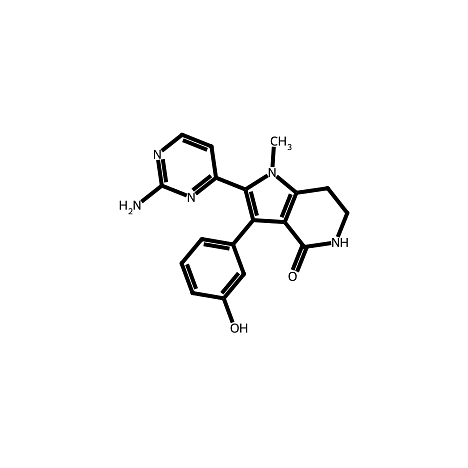 Cn1c2c(c(-c3cccc(O)c3)c1-c1ccnc(N)n1)C(=O)NCC2